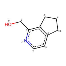 OCc1nccc2c1CCC2